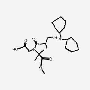 C1CCC(NC2CCCCC2)CC1.COC(=O)C(C)(C)N(CC(=O)O)C(=O)C(C)CS